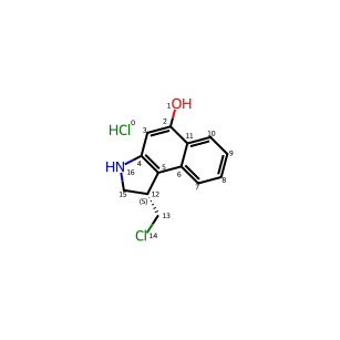 Cl.Oc1cc2c(c3ccccc13)[C@H](CCl)CN2